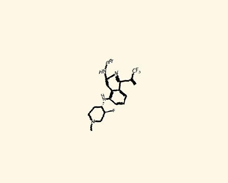 C=C(c1nc(NCCC)cc2c(N[C@H]3CCN(C)C[C@@H]3F)cccc12)C(F)(F)F